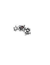 CN(CC1CCCCO1)S(=O)(=O)N1CCN(c2ncnc3[nH]ccc23)CC12CC2